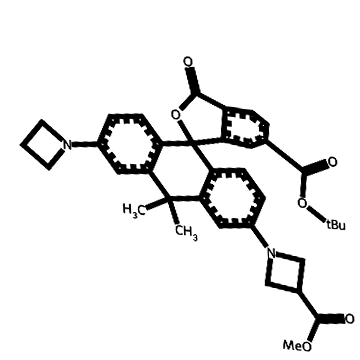 COC(=O)C1CN(c2ccc3c(c2)C(C)(C)c2cc(N4CCC4)ccc2C32OC(=O)c3ccc(C(=O)OC(C)(C)C)cc32)C1